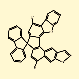 Brc1cc2c(c3cc4ccoc4cc13)-c1c(cc(Br)c3c1oc1ccccc13)C21c2ccccc2-c2ccccc21